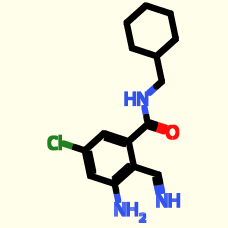 N=Cc1c(N)cc(Cl)cc1C(=O)NCC1CCCCC1